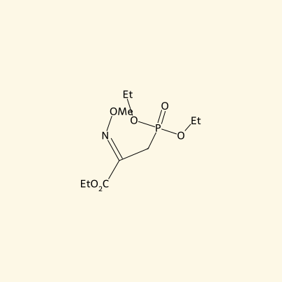 CCOC(=O)C(CP(=O)(OCC)OCC)=NOC